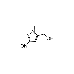 O=Nc1cc(CO)[nH]n1